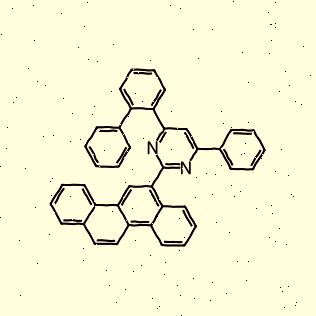 c1ccc(-c2cc(-c3ccccc3-c3ccccc3)nc(-c3cc4c5ccccc5ccc4c4ccccc34)n2)cc1